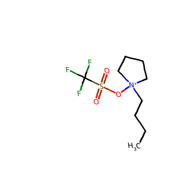 CCCC[N+]1(OS(=O)(=O)C(F)(F)F)CCCC1